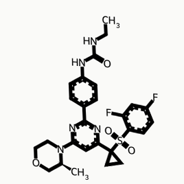 CCNC(=O)Nc1ccc(-c2nc(N3CCOC[C@@H]3C)cc(C3(S(=O)(=O)c4ccc(F)cc4F)CC3)n2)cc1